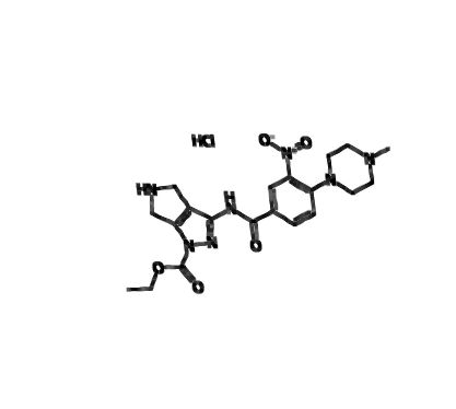 CCOC(=O)n1nc(NC(=O)c2ccc(N3CCN(C)CC3)c([N+](=O)[O-])c2)c2c1CNC2.Cl